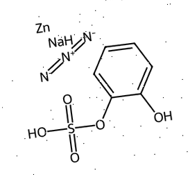 O=S(=O)(O)Oc1ccccc1O.[N-]=[N+]=[N-].[NaH].[Zn]